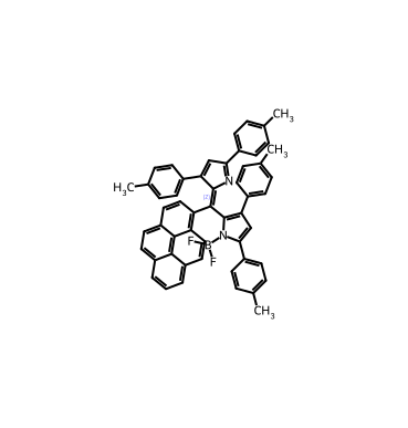 Cc1ccc(C2=CC(c3ccc(C)cc3)=N/C2=C(/c2ccc3ccc4cccc5ccc2c3c45)c2c(-c3ccc(C)cc3)cc(-c3ccc(C)cc3)n2B(F)F)cc1